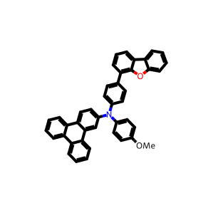 COc1ccc(N(c2ccc(-c3cccc4c3oc3ccccc34)cc2)c2ccc3c4ccccc4c4ccccc4c3c2)cc1